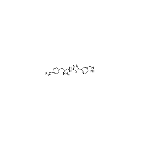 N[C@@H](CNc1nnc(-c2cc3cn[nH]c3cn2)s1)Cc1ccc(C(F)(F)F)cc1